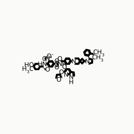 CC(C)c1ccccc1[C@H]1CCCN1C1CC2(CCN(c3ccc(C(=O)NS(=O)(=O)c4cc5c(c([N+](=O)[O-])c4)N[C@@H]([C@H]4CC[C@](C)(O)CC4)CO5)c(Oc4cc5cc[nH]c5nc4O[C@H]4CCOC4)c3)CC2)C1